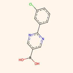 OB(O)c1cnc(-c2cccc(Cl)c2)nc1